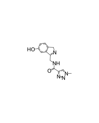 Cn1cc(C(=O)NCC2=NCc3ccc(O)cc32)nn1